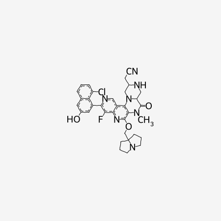 CN1C(=O)C2CNC(CC#N)CN2c2c1c(OCC13CCCN1CCC3)nc1c(F)c(-c3cc(O)cc4cccc(Cl)c34)ncc21